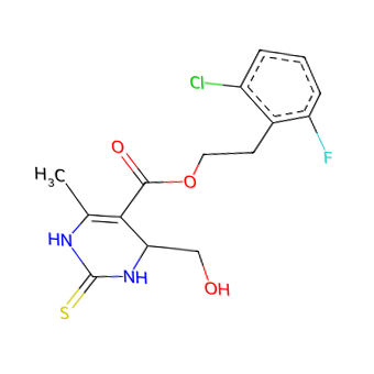 CC1=C(C(=O)OCCc2c(F)cccc2Cl)C(CO)NC(=S)N1